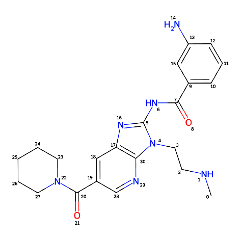 CNCCn1c(NC(=O)c2cccc(N)c2)nc2cc(C(=O)N3CCCCC3)cnc21